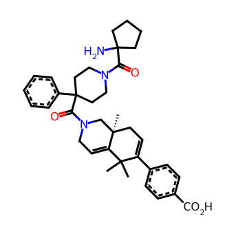 CC1(C)C(c2ccc(C(=O)O)cc2)=CC[C@]2(C)CN(C(=O)C3(c4ccccc4)CCN(C(=O)C4(N)CCCC4)CC3)CC=C12